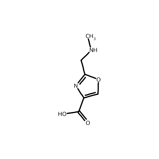 CNCc1nc(C(=O)O)co1